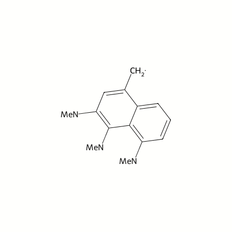 [CH2]c1cc(NC)c(NC)c2c(NC)cccc12